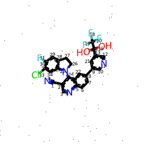 N#Cc1cnc2ccc(-c3cncc(C(O)(O)C(F)(F)F)c3)cc2c1N1CCc2cc(F)c(Cl)cc21